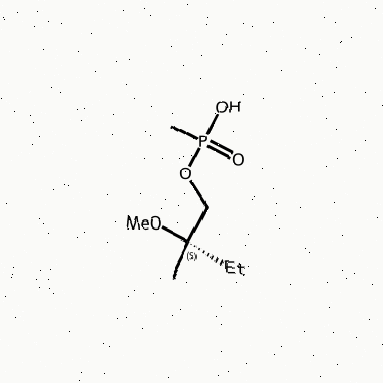 CC[C@@](C)(COP(C)(=O)O)OC